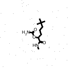 CNC(=O)C(CCCC(C)(C)C)OC(N)=O